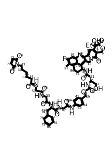 CC[C@@]1(O)C(=O)OCc2c1cc1n(c2=O)Cc2c-1nc1cc(F)c(C)c3c1c2[C@@H](NC(=O)C[C@H](CO)NC(=O)OCc1ccc(NC(=O)CNC(=O)[C@@H](NC(=O)CNC(=O)CNC(=O)CCCCCN2C(=O)C=CC2=O)[C@@H](C)c2ccccc2)cc1)CC3